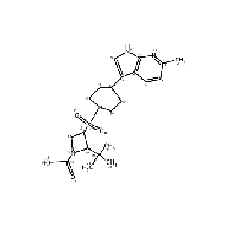 Cc1ccc2c(C3CCN(S(=O)(=O)C4CN(C(=O)O)C4C(C)(C)C)CC3)c[nH]c2n1